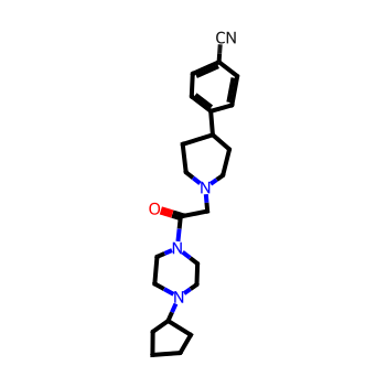 N#Cc1ccc(C2CCN(CC(=O)N3CCN(C4CCCC4)CC3)CC2)cc1